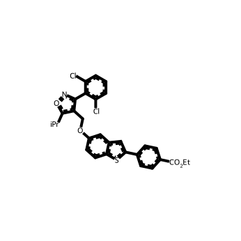 CCOC(=O)c1ccc(-c2cc3cc(OCc4c(-c5c(Cl)cccc5Cl)noc4C(C)C)ccc3s2)cc1